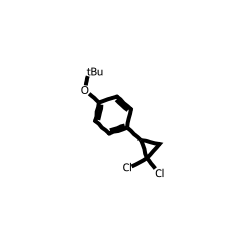 CC(C)(C)Oc1ccc([C]2CC2(Cl)Cl)cc1